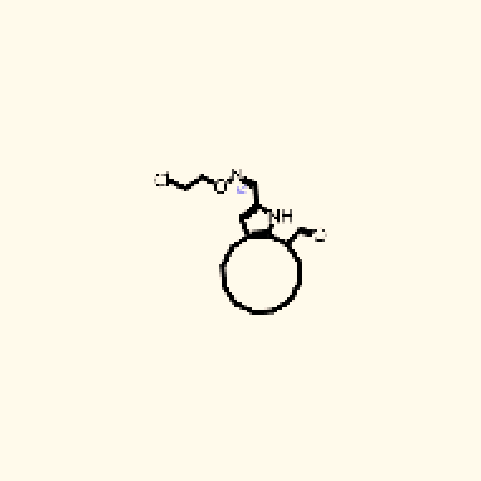 O=CC1CCCCCCCCCc2cc(/C=N\OCCCl)[nH]c21